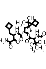 CC(C)(C)C(NC=O)C(=O)N1C[C@]2(C[C@H]1C(=O)NC(CC1CCC1)C(=O)C(N)=O)C(C)(C)C21CCC1